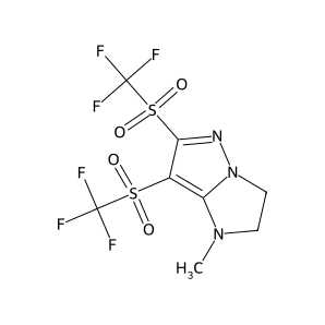 CN1CCn2nc(S(=O)(=O)C(F)(F)F)c(S(=O)(=O)C(F)(F)F)c21